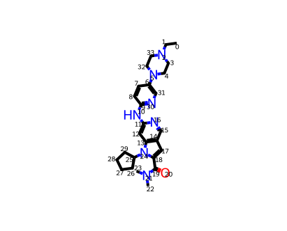 CCN1CCN(c2ccc(Nc3cc4c(cn3)cc(C(=O)N(C)C)n4C3CCCC3)nc2)CC1